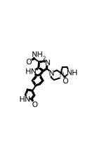 NC(=O)c1cnc(N2CCC[C@@]3(CCNC3=O)C2)c2c1[nH]c1cc(-c3cc[nH]c(=O)c3)ccc12